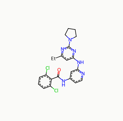 CCc1cc(Nc2cc(NC(=O)c3c(Cl)cccc3Cl)ccn2)nc(N2CCCC2)n1